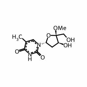 CO[C@]1(CO)O[C@@H](n2cc(C)c(=O)[nH]c2=O)C[C@@H]1O